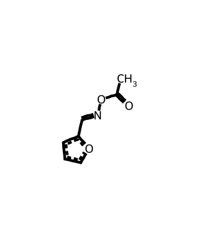 CC(=O)ON=Cc1ccco1